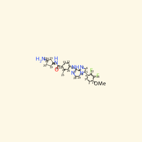 COc1ccc(-c2cnc3c(Nc4ccc(C(=O)N[C@@H]5CC[C@@H](N)C5)c(C)c4)nccn23)c(F)c1F